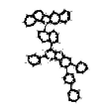 c1ccc(-c2ccc(-c3cc4c(cc3-c3ccccc3)sc3c(-c5cccc6c(-n7c8cc9ccccc9cc8c8ccc9ccccc9c87)cccc56)nc(-c5ccncc5)nc34)cc2)cc1